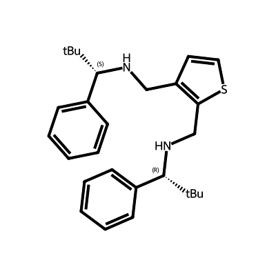 CC(C)(C)[C@H](NCc1ccsc1CN[C@@H](c1ccccc1)C(C)(C)C)c1ccccc1